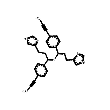 CC(C)(C)C#Cc1ccc(C(CCc2c[nH]cn2)OC(CCc2c[nH]cn2)c2ccc(C#CC(C)(C)C)cc2)cc1